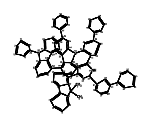 CC1(C)c2ccccc2-c2cccc(C3=NC(c4cccc(-c5ccccc5)c4)NC(c4ccc(-c5ccccc5)cc4-n4c5cc(-c6ccccc6)ccc5c5c(-c6cccc7c6c6ccccc6n7-c6ccccc6)cccc54)=N3)c21